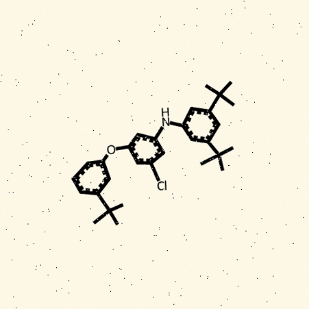 CC(C)(C)c1cccc(Oc2cc(Cl)cc(Nc3cc(C(C)(C)C)cc(C(C)(C)C)c3)c2)c1